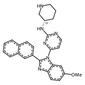 COc1ccc2nc(-c3ccc4ccccc4c3)n(-c3ccnc(N[C@H]4CCCNC4)n3)c2c1